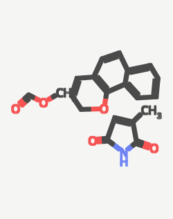 C1=Cc2ccc3ccccc3c2OC1.CC1=CC(=O)NC1=O.COC=O